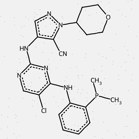 CP(C)c1ccccc1Nc1nc(Nc2cnn(C3CCOCC3)c2C#N)ncc1Cl